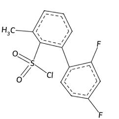 Cc1cccc(-c2ccc(F)cc2F)c1S(=O)(=O)Cl